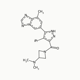 Cc1cc(-c2[nH]nc(C(=O)N3CC(N(C)C)C3)c2C(C)C)cn2ncnc12